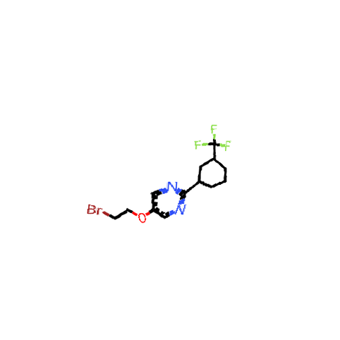 FC(F)(F)C1CCCC(c2ncc(OCCBr)cn2)C1